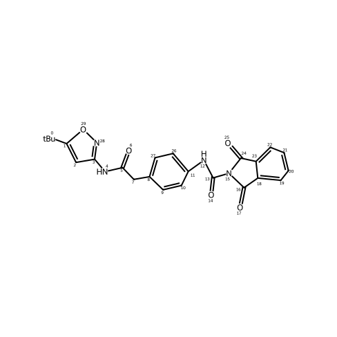 CC(C)(C)c1cc(NC(=O)Cc2ccc(NC(=O)N3C(=O)c4ccccc4C3=O)cc2)no1